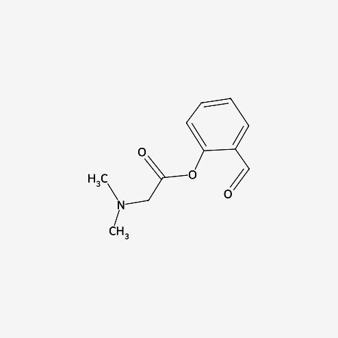 CN(C)CC(=O)Oc1ccccc1C=O